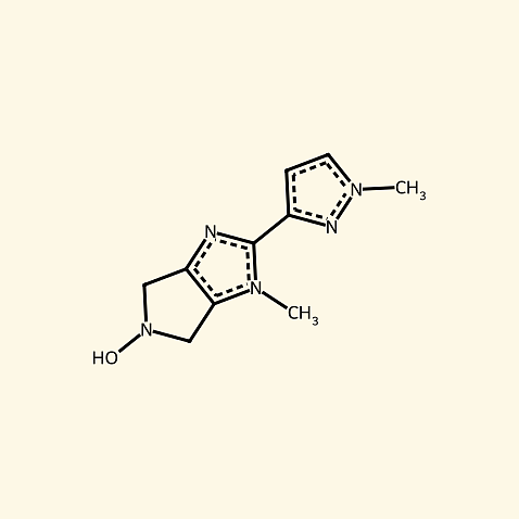 Cn1ccc(-c2nc3c(n2C)CN(O)C3)n1